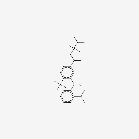 CC(C)c1ccccc1C(=O)c1cc(C(C)CC(C)(C)C(C)C)ccc1C(C)(C)C